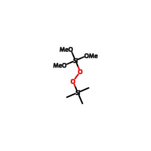 CO[Si](OC)(OC)OO[Si](C)(C)C